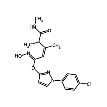 CNC(=O)C(C)/C(C)=C\C(=N\O)Oc1ccn(-c2ccc(Cl)cc2)n1